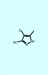 N#Cc1n[nH]c(I)c1Cl